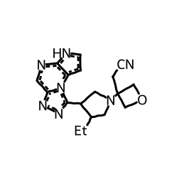 CCC1CN(C2(CC#N)COC2)CC1c1nnc2cnc3[nH]ccc3n12